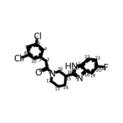 O=C(Cc1cc(Cl)cc(Cl)c1)N1CCCC(c2nc3cc(F)ccc3[nH]2)C1